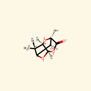 C[C@@H]1C2O[C@@H]3OC(=O)[C@@H]1O[C@@H]3[C@H]2C